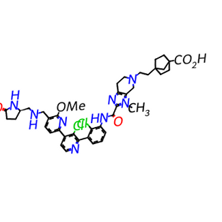 COc1nc(-c2ccnc(-c3cccc(NC(=O)c4nc5c(n4C)CN(CCC46CCC(C(=O)O)(CC4)C6)CC5)c3Cl)c2Cl)ccc1CNC[C@H]1CCC(=O)N1